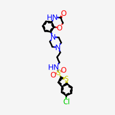 O=C1COc2c(cccc2N2CCN(CCCNS(=O)(=O)c3cc4cc(Cl)ccc4s3)CC2)N1